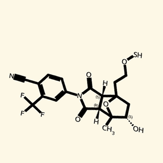 CC12OC(CCOS)(C[C@@H]1O)[C@H]1C(=O)N(c3ccc(C#N)c(C(F)(F)F)c3)C(=O)[C@H]12